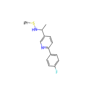 CC(C)SNC(C)c1ccc(-c2ccc(F)cc2)nc1